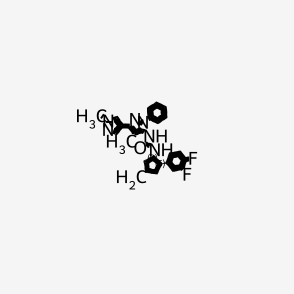 C=C1C[C@@H](NC(=O)Nc2c(C)c(-c3cnn(C)c3)nn2-c2ccccc2)[C@H](c2ccc(F)c(F)c2)C1